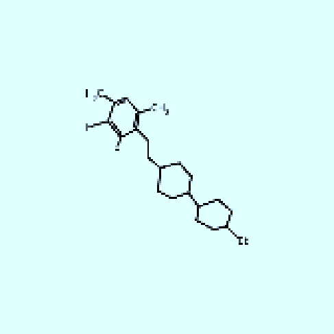 CCC1CCC(C2CCC(CCc3c(C)cc(C)c(F)c3F)CC2)CC1